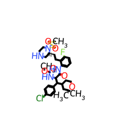 COC(=O)NC(C(=O)Nc1cccc(F)c1CC[C@H]1CNCCN1S(C)(=O)=O)C(c1ccc(Cl)cc1)C1CCOC(C)(C)C1